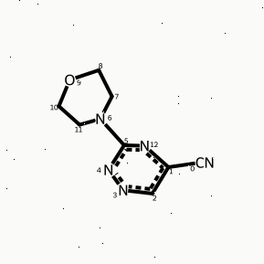 N#Cc1cnnc(N2CCOCC2)n1